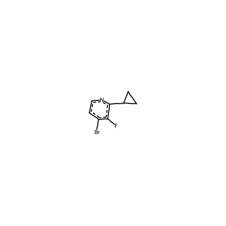 Fc1c(Br)ccnc1[C]1CC1